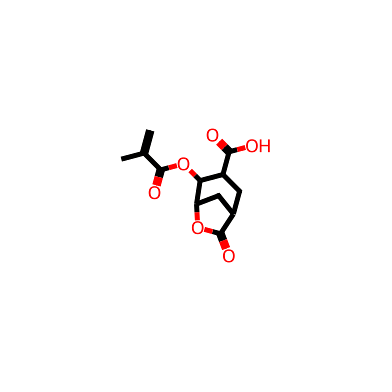 C=C(C)C(=O)OC1C2CC(CC1C(=O)O)C(=O)O2